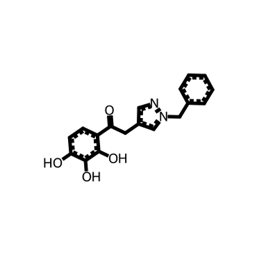 O=C(Cc1cnn(Cc2ccccc2)c1)c1ccc(O)c(O)c1O